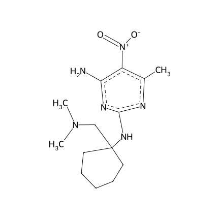 Cc1nc(NC2(CN(C)C)CCCCC2)nc(N)c1[N+](=O)[O-]